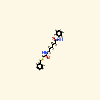 O=C(CSCc1ccccc1)NCCCCCC(=O)Nc1ccccc1